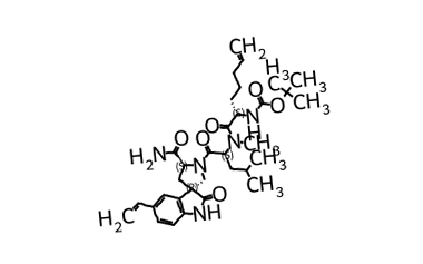 C=CCCC[C@H](NC(=O)OC(C)(C)C)C(=O)N(C)[C@@H](CC(C)C)C(=O)N1C[C@]2(C[C@H]1C(N)=O)C(=O)Nc1ccc(C=C)cc12